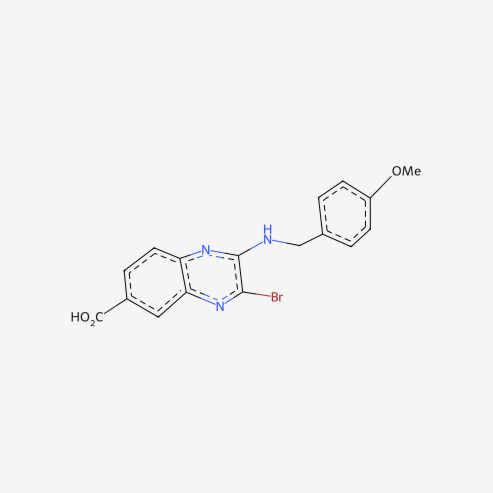 COc1ccc(CNc2nc3ccc(C(=O)O)cc3nc2Br)cc1